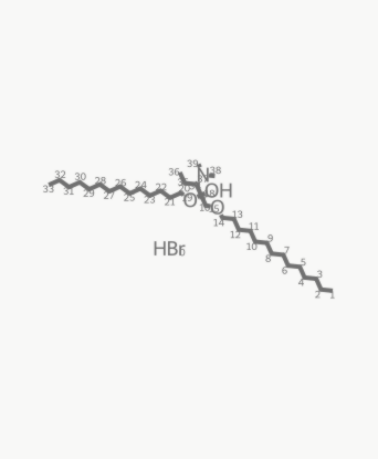 Br.CCCCCCCCCCCCCCOCC(O)(OCCCCCCCCCCCCCC)C(CC)N(C)C